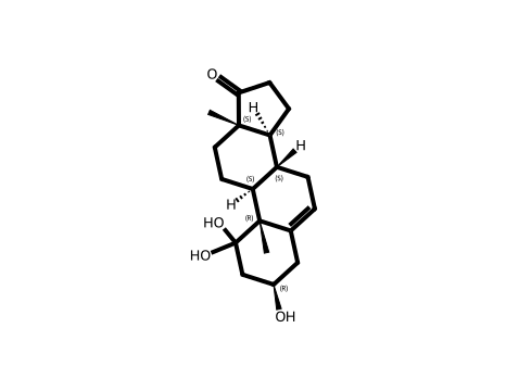 C[C@]12C(=CC[C@@H]3[C@@H]1CC[C@]1(C)C(=O)CC[C@@H]31)C[C@@H](O)CC2(O)O